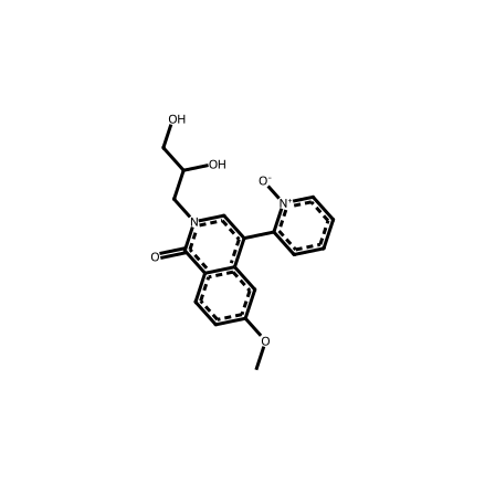 COc1ccc2c(=O)n(CC(O)CO)cc(-c3cccc[n+]3[O-])c2c1